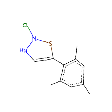 Cc1cc(C)c(C2=CNN(Cl)S2)c(C)c1